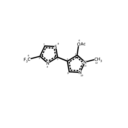 CC(=O)Oc1c(-c2nc(C(F)(F)F)cs2)cnn1C